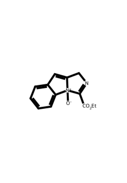 CCOC(=O)C1=NCC2=Cc3ccccc3[N+]21[O-]